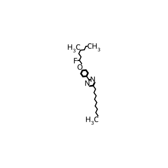 CCCCCCCCCCc1cnc(-c2ccc(OCC(F)CCC(C)CCC)cc2)nc1